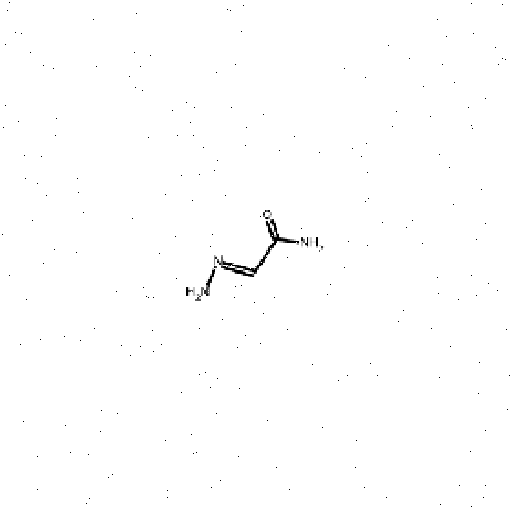 NN=CC(N)=O